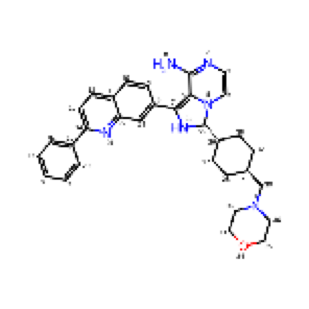 NC1=NC=CN2C1=C(c1ccc3ccc(-c4ccccc4)nc3c1)NC2[C@H]1CC[C@H](CN2CCOCC2)CC1